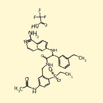 CCc1cccc(C(Nc2ccc3c(N)nccc3c2)C(=O)NCc2cc(NC(C)=O)ccc2S(=O)(=O)CC)c1.O=C(O)C(F)(F)F